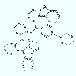 c1ccc(-c2ccc(N(c3ccc(-c4ccccc4-n4c5ccccc5c5ccccc54)c4ccccc34)c3cccc4sc5ccccc5c34)cc2)cc1